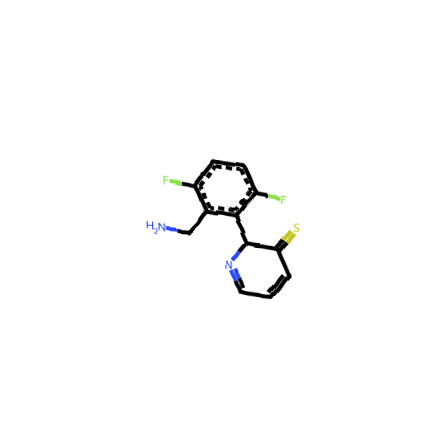 NCc1c(F)ccc(F)c1C1N=CC=CC1=S